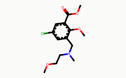 COCCN(C)Cc1cc(Cl)cc(C(=O)OC)c1OC